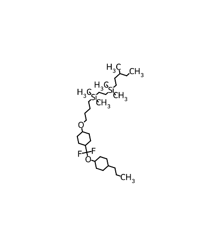 CCCC1CCC(OC(F)(F)C2CCC(OCCCC[Si](C)(C)CC[Si](C)(C)CCC(C)CC)CC2)CC1